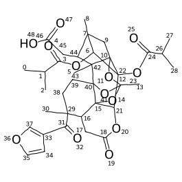 CC(C)C(=O)OC1C2(C)CC34OC5(C)OC67C(CC(=O)OC6C13OC(=O)C(C)C)C(C)(C(=O)c1ccoc1)CCC7(O5)C4(C)C2CC(=O)O